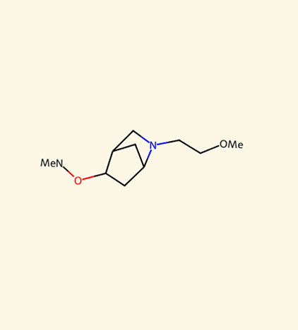 CNOC1CC2CC1CN2CCOC